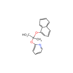 CC(Oc1ccccn1)(Oc1cccc2ccccc12)C(=O)O